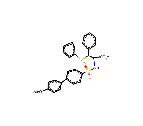 COc1ccc(-c2ccc(S(=O)(=O)NC(C(=O)O)C(Sc3ccccc3)c3ccccc3)cc2)cc1